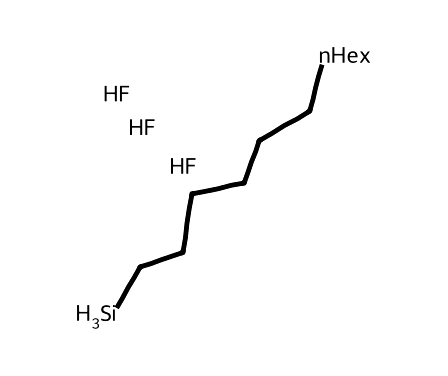 CCCCCCCCCCCC[SiH3].F.F.F